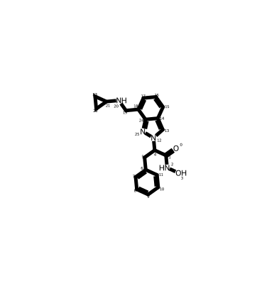 O=C(NO)C(Cc1ccccc1)n1cc2cccc(CNC3CC3)c2n1